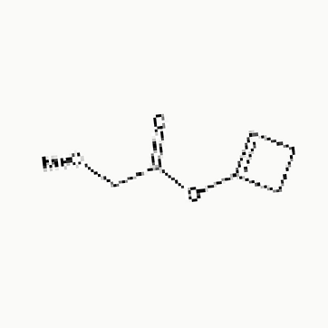 COCC(=O)OC1=CCC1